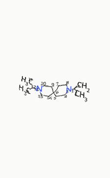 C=C(C)N1CCC2(CC1)CCN(C(C)C)CC2